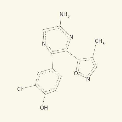 Cc1cnoc1-c1nc(N)cnc1-c1ccc(O)c(Cl)c1